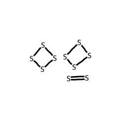 S1SSS1.S1SSS1.S=S